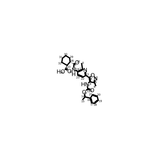 Cc1nc(-c2onc(C)c2NC(=O)OC(C)c2ccccc2)ccc1NC(=O)[C@H]1CCCC[C@@H]1C(=O)O